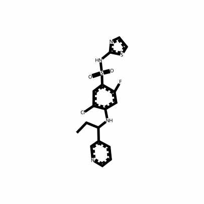 CCC(Nc1cc(F)c(S(=O)(=O)Nc2nccs2)cc1Cl)c1cccnc1